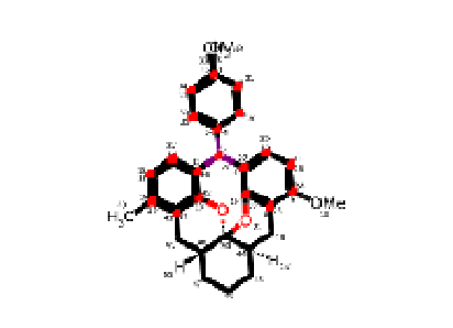 COc1ccc(P(c2ccc(OC)cc2)c2cccc3c2O[C@]24Oc5c(cccc5P(c5ccc(C)cc5)c5ccc(C)cc5)C[C@H]2CCC[C@@H]4C3)cc1